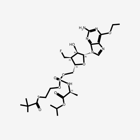 CCOc1nc(N)nc2c1ncn2[C@@H]1O[C@H](COP(=O)(N[C@@H](C)C(=O)OC(C)C)OCCSC(=O)C(C)(C)C)[C@@H](CF)[C@H]1O